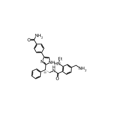 CCNc1cc(CN)ccc1C(=O)NC[C@H](c1ccccc1)c1nc(-c2ccc(C(N)=O)cc2)c[nH]1